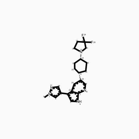 Cn1cc(-c2c[nH]c3ncc([C@H]4CC[C@@H](N5CCC(F)(F)C5)CC4)cc23)cn1